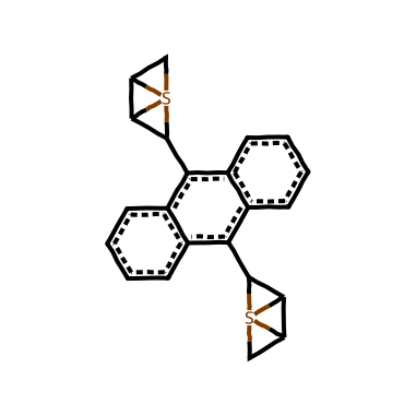 c1ccc2c(C3C4C5CS534)c3ccccc3c(C3C4C5CS534)c2c1